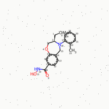 COC[C@@H]1COc2cc(C(=O)NO)ccc2CN1c1ccccc1C